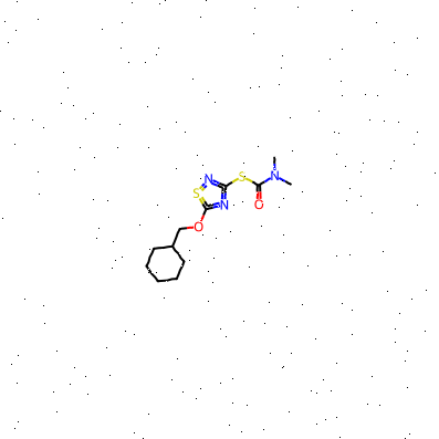 CN(C)C(=O)Sc1nsc(OCC2CCCCC2)n1